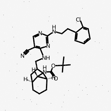 CC(C)(C)OC(=O)N[C@@H]1[C@@H]2CCC[C@H]1CC(CNc1nc(NCCc3ccccc3Cl)ncc1C#N)C2